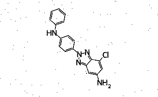 Nc1[c]c2nn(-c3ccc(Nc4ccccc4)cc3)nc2c(Cl)c1